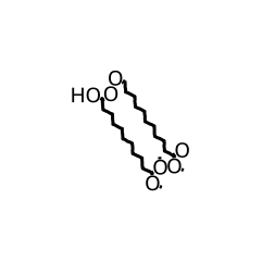 COC(=O)CCCCCCCCCC=O.COC(CCCCCCCCCC(=O)O)OC